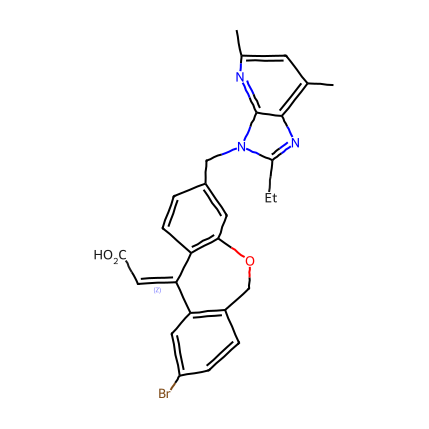 CCc1nc2c(C)cc(C)nc2n1Cc1ccc2c(c1)OCc1ccc(Br)cc1/C2=C/C(=O)O